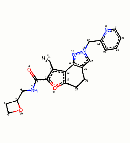 Cc1c(C(=O)NCC2CCO2)oc2c1-c1nn(Cc3ccccn3)cc1CC2